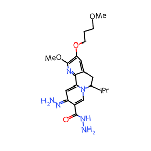 COCCCOc1cc2c(nc1OC)-c1cc(=NN)c(C(=O)NN)cn1C(C(C)C)C2